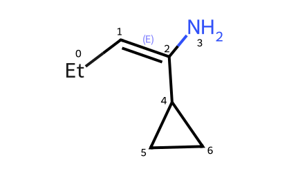 CC/C=C(/N)C1CC1